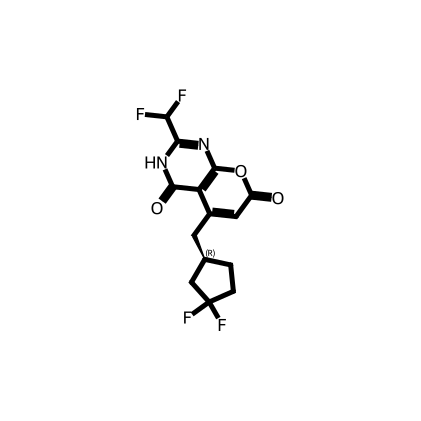 O=c1cc(C[C@H]2CCC(F)(F)C2)c2c(=O)[nH]c(C(F)F)nc2o1